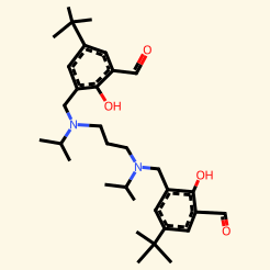 CC(C)N(CCCN(Cc1cc(C(C)(C)C)cc(C=O)c1O)C(C)C)Cc1cc(C(C)(C)C)cc(C=O)c1O